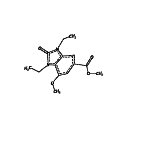 CCn1c(=O)n(CC)c2c(OC)cc(C(=O)OC)cc21